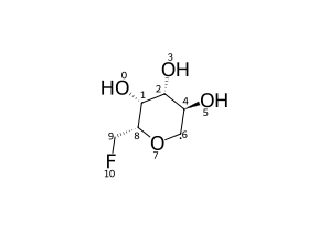 O[C@@H]1[C@H](O)[C@@H](O)[CH]O[C@@H]1CF